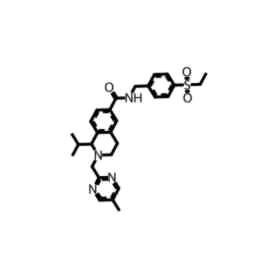 CCS(=O)(=O)c1ccc(CNC(=O)c2ccc3c(c2)CCN(Cc2ncc(C)cn2)C3C(C)C)cc1